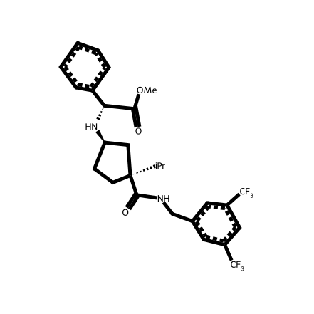 COC(=O)[C@H](N[C@@H]1CC[C@@](C(=O)NCc2cc(C(F)(F)F)cc(C(F)(F)F)c2)(C(C)C)C1)c1ccccc1